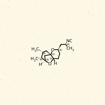 [C-]#[N+][C@H](C)C[C@H]1CC[C@@H]2O[C@@H]3C[C@]2(C[C@@H](C)[C@H]3C)O1